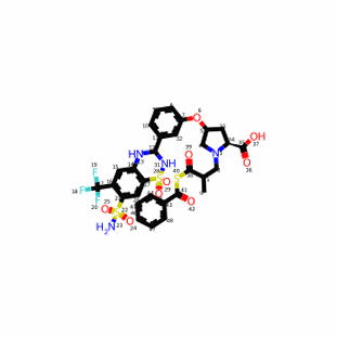 CC(CN1CC(Oc2cccc(C3Nc4cc(C(F)(F)F)c(S(N)(=O)=O)cc4S(=O)(=O)N3)c2)C[C@H]1C(=O)O)C(=O)SC(=O)c1ccccc1